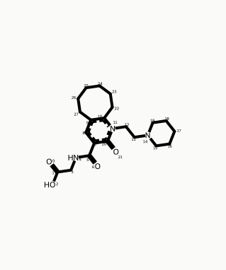 O=C(O)CNC(=O)c1cc2c(n(CCN3CCCCC3)c1=O)CCCCCC2